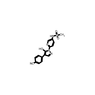 CS(=O)(=O)Nc1ccc(-n2ncc(-c3ccc(C#N)cc3)c2O)nc1